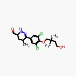 CC1CC(C=O)NN=C1c1cc(Cl)c(OCC(C)(C)CCO)c(Cl)c1